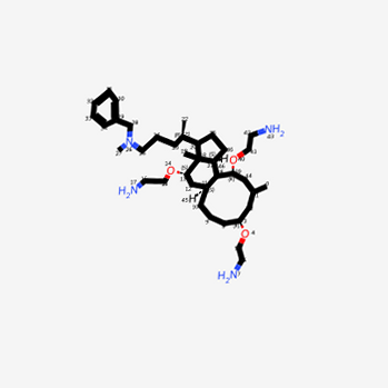 CC1C[C@H](OCCN)CCC[C@H]2C[C@H](OCCN)C3(C)C([C@H](C)CCCN(C)Cc4ccccc4)CC[C@H]3C2[C@H](OCCN)C1